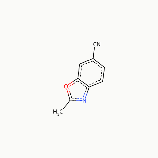 Cc1nc2ccc(C#N)cc2o1